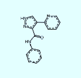 O=C(Nc1ccccc1)c1n[nH]cc1-c1ccccn1